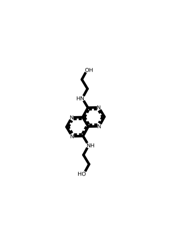 OCCNc1ncnc2c(NCCO)ncnc12